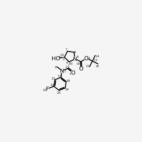 CN(C(=O)[C@@H]1[C@@H](O)CCN1C(=O)OC(C)(C)C)c1cccc(F)c1